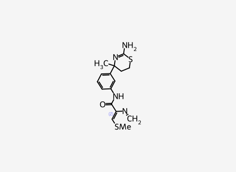 C=N/C(=C\SC)C(=O)Nc1cccc(C2(C)CCSC(N)=N2)c1